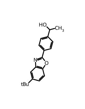 CC(O)c1ccc(-c2nc3cc(C(C)(C)C)ccc3o2)cc1